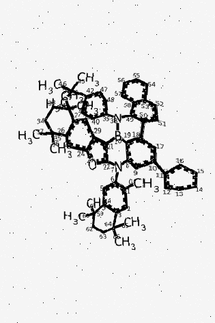 Cc1cc2c(cc1N1c3cc(-c4ccccc4)cc4c3B(c3c1oc1cc5c(cc31)C(C)(C)CCC5(C)C)N(c1ccc(C(C)(C)C)cc1)c1c-4ccc3ccccc13)C(C)(C)CCC2(C)C